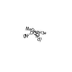 COc1cc2c(NC3CCN(C)CC3)cc(C3CCC(C)O3)nc2cc1OCCCN1CCCC1